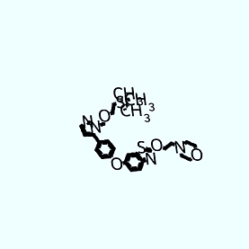 C[Si](C)(C)CCOCn1nccc1-c1ccc(Oc2ccc3nc(OCCN4CCOCC4)sc3c2)cc1